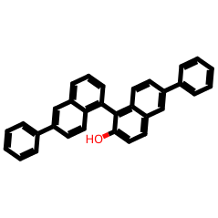 Oc1ccc2cc(-c3ccccc3)ccc2c1-c1cccc2cc(-c3ccccc3)ccc12